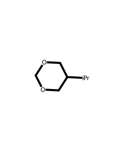 CC(C)C1COCOC1